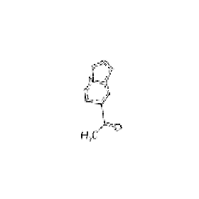 CC(=O)c1ccn2cccc2c1